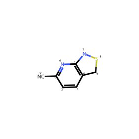 N#Cc1ccc2c(n1)[N]SC2